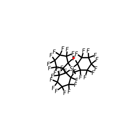 C[Si](C1(F)C(F)(F)C(F)(F)C(F)(F)C(F)(F)C1(F)F)(C1(F)C(F)(F)C(F)(F)C(F)(F)C(F)(F)C1(F)F)C1(F)C(F)(F)C(F)(F)C(F)(F)C(F)(F)C1(F)F